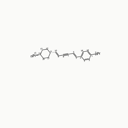 CCCc1ccc(C=CC#CC=C[C@H]2CC[C@H](CCC)CC2)cc1